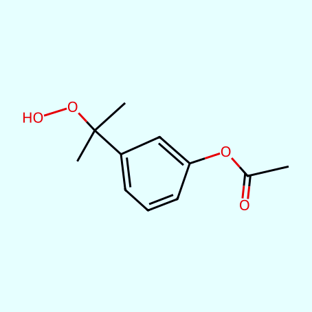 CC(=O)Oc1cccc(C(C)(C)OO)c1